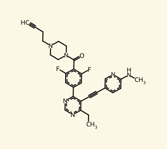 C#CCCN1CCN(C(=O)c2c(F)cc(-c3ncnc(CC)c3C#Cc3ccc(NC)nc3)cc2F)CC1